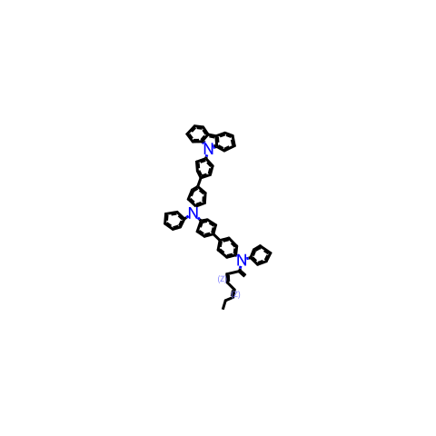 C=C(/C=C\C=C/CC)N(c1ccccc1)c1ccc(-c2ccc(N(c3ccccc3)c3ccc(-c4ccc(-n5c6ccccc6c6ccccc65)cc4)cc3)cc2)cc1